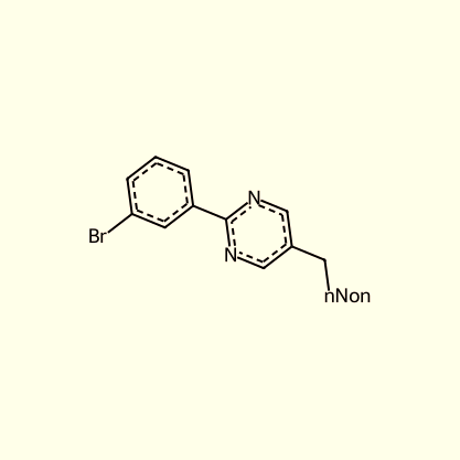 CCCCCCCCCCc1cnc(-c2cccc(Br)c2)nc1